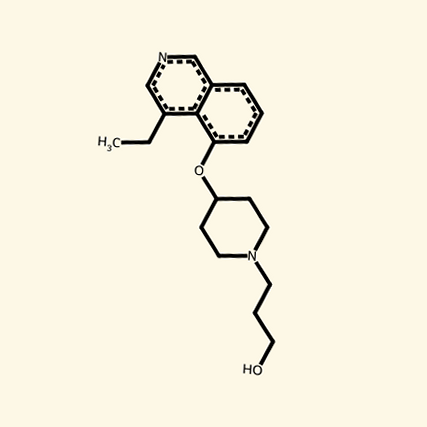 CCc1cncc2cccc(OC3CCN(CCCO)CC3)c12